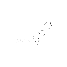 COCC1=NN=C(c2ccc(-c3ccccc3)nc2)[N]1